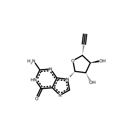 C#C[C@H]1O[C@@H](n2cnc3c(=O)[nH]c(N)nc32)[C@@H](O)[C@@H]1O